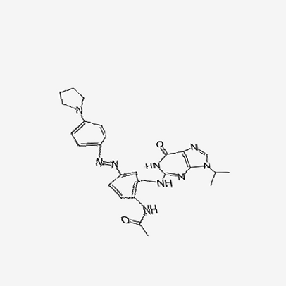 CC(=O)Nc1ccc(/N=N/c2ccc(N3CCCC3)cc2)cc1Nc1nc2c(ncn2C(C)C)c(=O)[nH]1